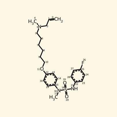 C=CCN(C)CCCCCCOc1ccc(N(C)S(=O)(=O)Nc2ccc(F)cc2)cc1